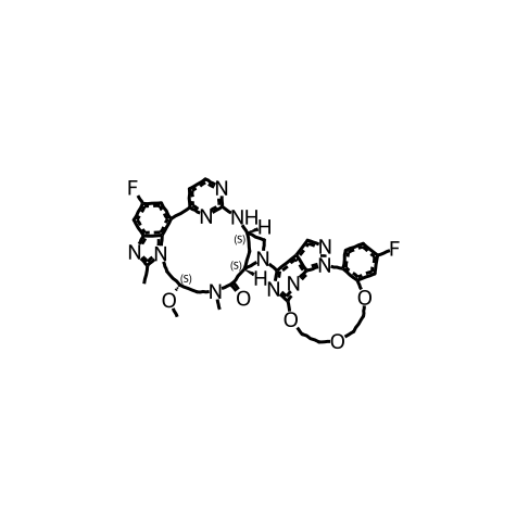 CO[C@H]1CN(C)C(=O)[C@@H]2C[C@@H](CN2c2nc3nc4c2cnn4-c2ccc(F)cc2OCCOCCO3)Nc2nccc(n2)-c2cc(F)cc3nc(C)n(c23)C1